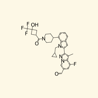 Cc1c(-c2cc3cccc(C4CCN(C(=O)C5CC(O)(C(F)(F)F)C5)CC4)c3n2CC2CC2)nn2cc(C=O)cc(F)c12